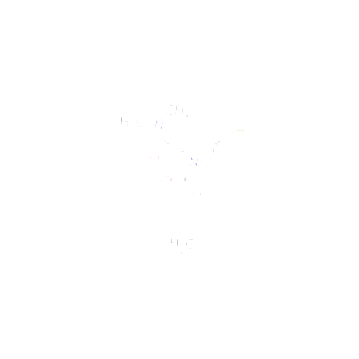 C=CCOC(=O)N1C[C@@H](S)C[C@H]1C(=O)N(C)C